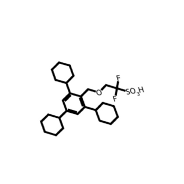 O=S(=O)(O)C(F)(F)COCc1c(C2CCCCC2)cc(C2CCCCC2)cc1C1CCCCC1